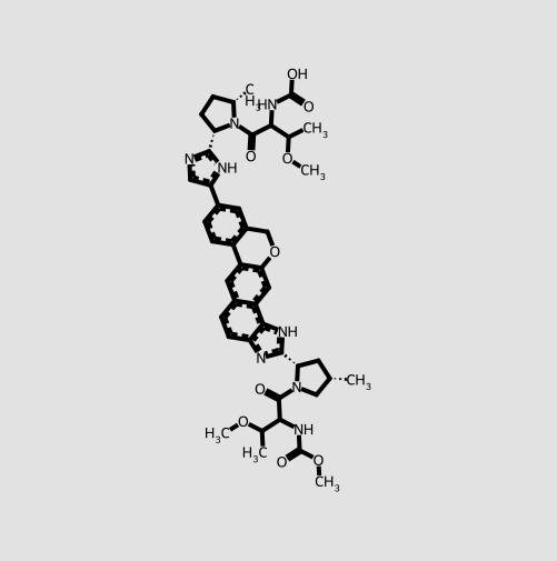 COC(=O)NC(C(=O)N1C[C@@H](C)C[C@H]1c1nc2ccc3cc4c(cc3c2[nH]1)OCc1cc(-c2cnc([C@@H]3CC[C@H](C)N3C(=O)C(NC(=O)O)C(C)OC)[nH]2)ccc1-4)C(C)OC